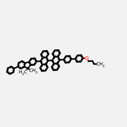 CCCCOc1ccc(-c2ccc(-c3c4ccccc4c(-c4c5ccccc5c(-c5ccc6c(c5)C(C)(C)c5cc(-c7ccccc7)ccc5-6)c5ccccc45)c4ccccc34)cc2)cc1